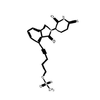 CS(=O)(=O)OCCCC#Cc1cccc2c1C(=O)N(C1CCC(=O)NC1=O)C2